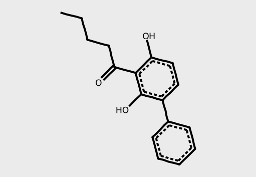 CCCCC(=O)c1c(O)ccc(-c2ccccc2)c1O